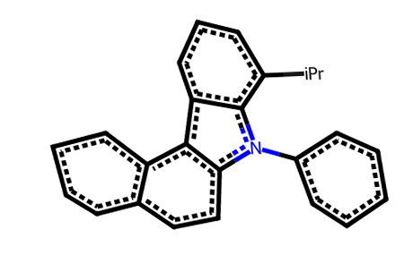 CC(C)c1cccc2c3c4ccccc4ccc3n(-c3ccccc3)c12